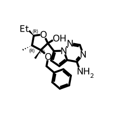 CC[C@H]1OC(O)(c2ccc3c(N)ncnn23)[C@](C)(OCc2ccccc2)[C@@H]1C